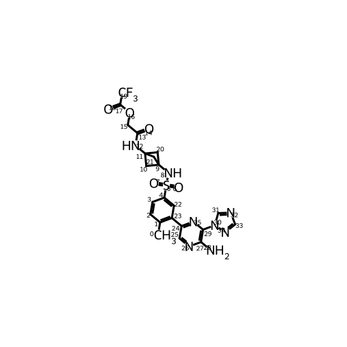 Cc1ccc(S(=O)(=O)NC23CC(NC(=O)COC(=O)C(F)(F)F)(C2)C3)cc1-c1cnc(N)c(-n2cncn2)n1